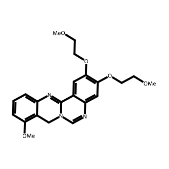 COCCOc1cc2c(cc1OCCOC)C1=Nc3cccc(OC)c3CN1C=N2